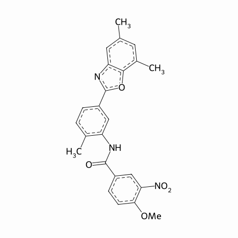 COc1ccc(C(=O)Nc2cc(-c3nc4cc(C)cc(C)c4o3)ccc2C)cc1[N+](=O)[O-]